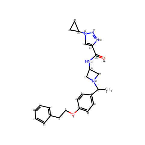 CC(c1ccc(OCCc2ccccc2)cc1)N1CC(NC(=O)c2cn(C3CC3)nn2)C1